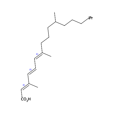 CC(/C=C/C=C(\C)CCCC(C)CCCC(C)C)=C\C(=O)O